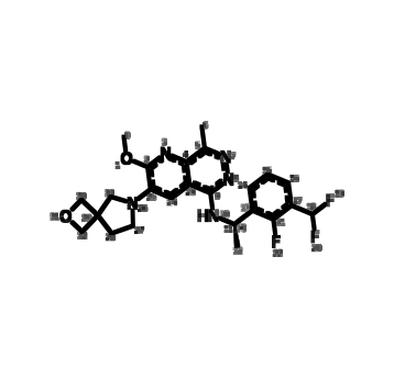 COc1nc2c(C)nnc(N[C@H](C)c3cccc(C(F)F)c3F)c2cc1N1CCC2(COC2)C1